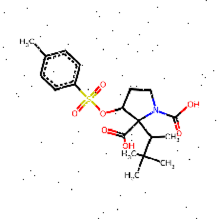 Cc1ccc(S(=O)(=O)OC2CCN(C(=O)O)C2(C(=O)O)C(C)C(C)(C)C)cc1